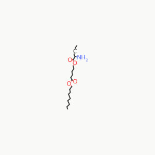 CCCCCCCCCOC(=O)CCCCCOC(=O)C(N)CCCC